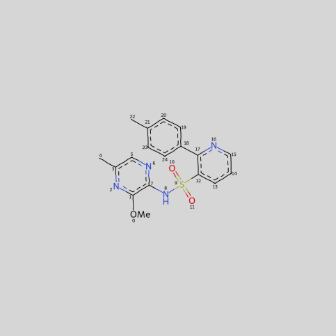 COc1nc(C)cnc1NS(=O)(=O)c1cccnc1-c1ccc(C)cc1